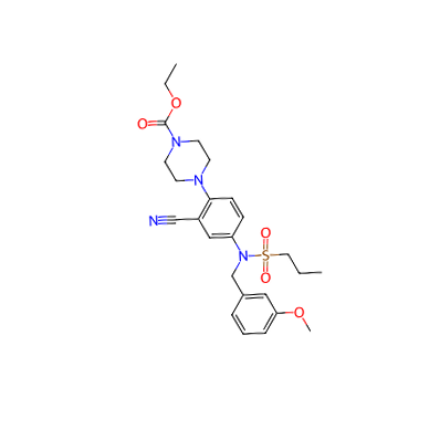 CCCS(=O)(=O)N(Cc1cccc(OC)c1)c1ccc(N2CCN(C(=O)OCC)CC2)c(C#N)c1